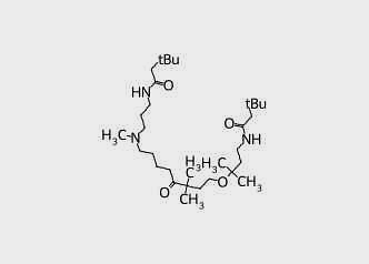 CN(CCCCC(=O)C(C)(C)CCOC(C)(C)CCNC(=O)CC(C)(C)C)CCCNC(=O)CC(C)(C)C